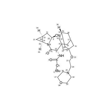 CC(C)(C)OC(=O)N[C@H](C(=O)N1[C@H](C#N)C[C@@H]2C[C@@H]21)C12CC3C[C@H](CC(OCCN4CCOCC4)(C3)C1)C2